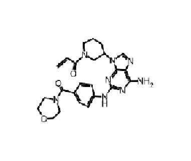 C=CC(=O)N1CCCC(n2cnc3c(N)nc(Nc4ccc(C(=O)N5CCOCC5)cc4)nc32)C1